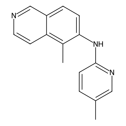 Cc1ccc(Nc2ccc3cnccc3c2C)nc1